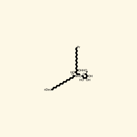 CCCCCCCCCCCCCCCCCCCCCCCC(=O)NC(CO[C@H]1O[C@H](CO)[C@H](O)[C@H](O)[C@H]1O)C(O)C(O)CCCCCCCCCCCC(C)C